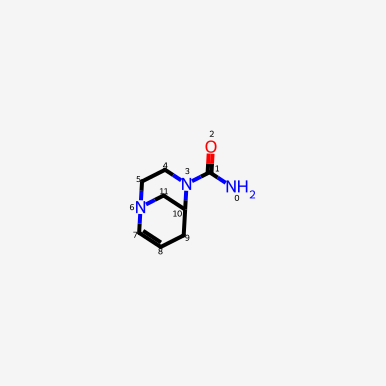 NC(=O)N1CCN2C=CCC1C2